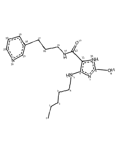 CCCCCNc1nc(O)[nH]c1C(=O)NCCCc1cccnc1